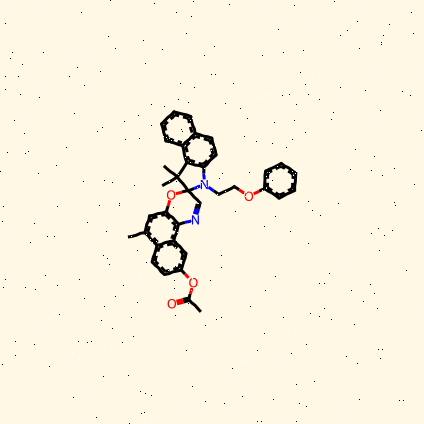 CC(=O)Oc1ccc2c(C)cc3c(c2c1)N=CC1(O3)N(CCOc2ccccc2)c2ccc3ccccc3c2C1(C)C